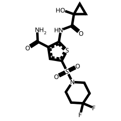 NC(=O)c1cc(S(=O)(=O)N2CCC(F)(F)CC2)sc1NC(=O)C1(O)CC1